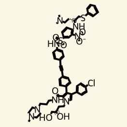 CN(C)CC[C@H](CSc1ccccc1)Nc1ccc(S(=O)(=O)Nc2ccc(C#Cc3ccc(-c4c(-c5ccc(Cl)cc5)cn(CC[C@H](O)CO)c4C(=O)NCCCN4CCN(C)CC4)cc3)cc2)cc1[N+](=O)[O-]